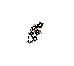 C[C@@H](Nc1c(N[C@H]2CCCC[C@@H]2N)c(=O)c1=O)[C@@H]1CCCC1(C)P(c1ccccc1)c1ccccc1